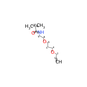 C#CCOCCCOCCNC(=O)C(C)C